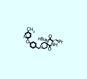 CCCCN1C(=O)[C@H](CC(C)C)NC(=O)C12CCN(Cc1ccc(Oc3ccc(C)cn3)cc1)CC2